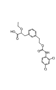 CCOC(Cc1cccc(CCOC(=O)Nc2ccc(Cl)cc2Cl)c1)C(=O)O